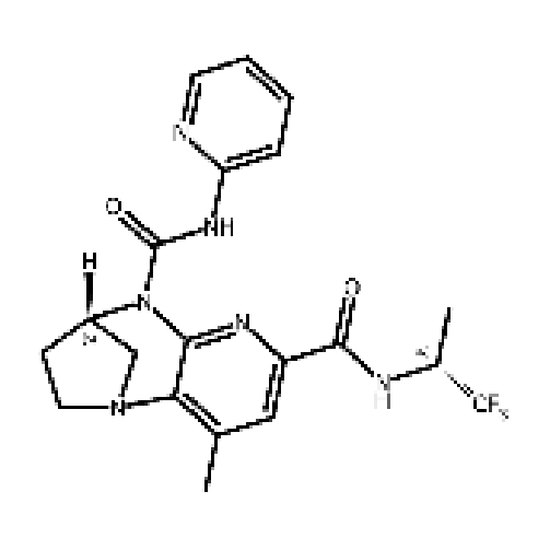 Cc1cc(C(=O)N[C@H](C)C(F)(F)F)nc2c1N1CC[C@@H](C1)N2C(=O)Nc1ccccn1